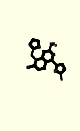 Cc1ccc(-c2nc(N)nc3c2ncc(=O)n3Cc2ccco2)o1